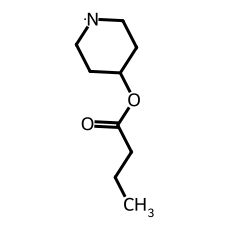 CCCC(=O)OC1CC[N]CC1